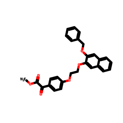 COC(=O)C(=O)c1ccc(OCCOc2cc3ccccc3cc2OCc2ccccc2)cc1